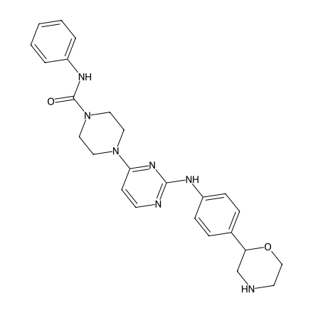 O=C(Nc1ccccc1)N1CCN(c2ccnc(Nc3ccc(C4CNCCO4)cc3)n2)CC1